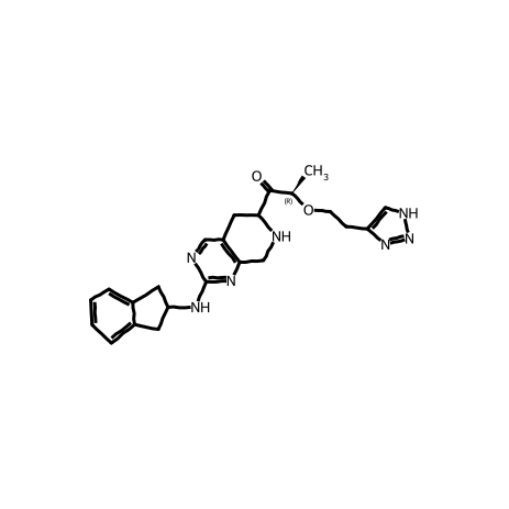 C[C@@H](OCCc1c[nH]nn1)C(=O)C1Cc2cnc(NC3Cc4ccccc4C3)nc2CN1